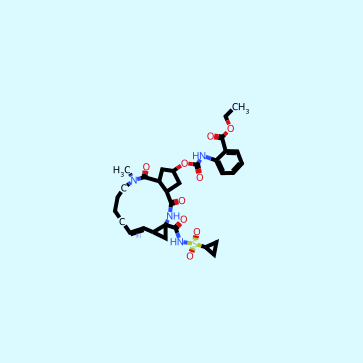 CCOC(=O)c1ccccc1NC(=O)OC1CC2C(=O)NC3(C(=O)NS(=O)(=O)C4CC4)CC3/C=C/CCCCN(C)C(=O)C2C1